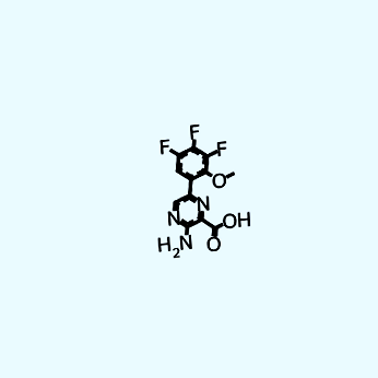 COc1c(-c2cnc(N)c(C(=O)O)n2)cc(F)c(F)c1F